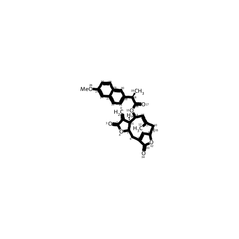 C=C1C(=O)OC2CC3=C[C@@H](C/C(C)=C/C(OC(=O)[C@H](C)c4ccc5cc(OC)ccc5c4)[C@H]12)OC3=O